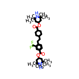 CC1(C)CC(OC(=O)c2ccc(CCC3CCC(C(=O)OC4CC(C)(C)NC(C)(C)C4)CC3)c(C(F)F)c2)CC(C)(C)N1